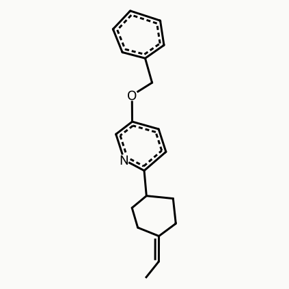 CC=C1CCC(c2ccc(OCc3ccccc3)cn2)CC1